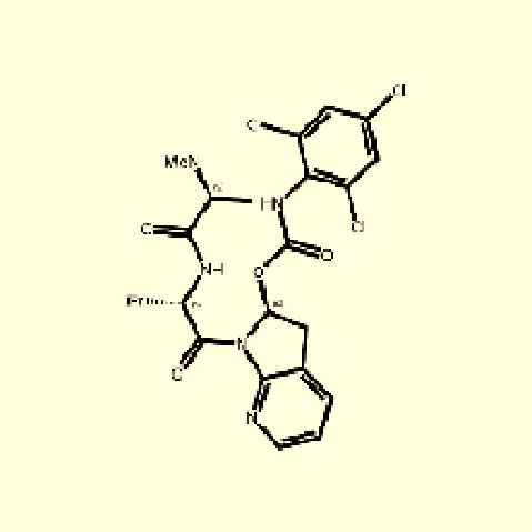 CN[C@@H](C)C(=O)N[C@H](C(=O)N1c2ncccc2C[C@@H]1OC(=O)Nc1c(Cl)cc(Cl)cc1Cl)C(C)C